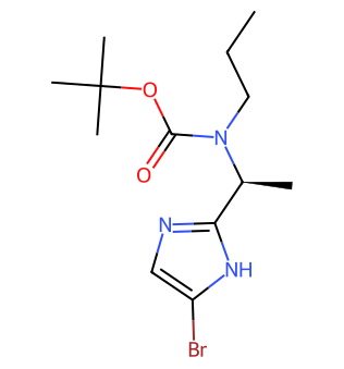 CCCN(C(=O)OC(C)(C)C)[C@@H](C)c1ncc(Br)[nH]1